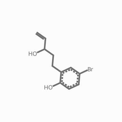 C=CC(O)CCc1cc(Br)ccc1O